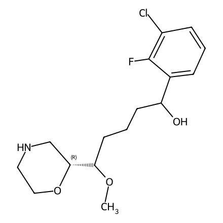 COC(CCCC(O)c1cccc(Cl)c1F)[C@H]1CNCCO1